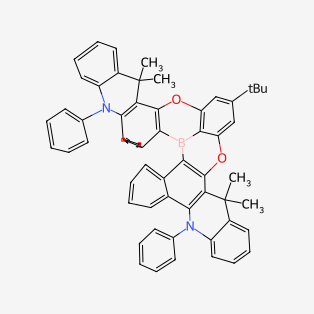 CC(C)(C)c1cc2c3c(c1)Oc1c4c(c5ccccc5c1B3c1c(c3c(c5ccccc15)N(c1ccccc1)c1ccccc1C3(C)C)O2)N(c1ccccc1)c1ccccc1C4(C)C